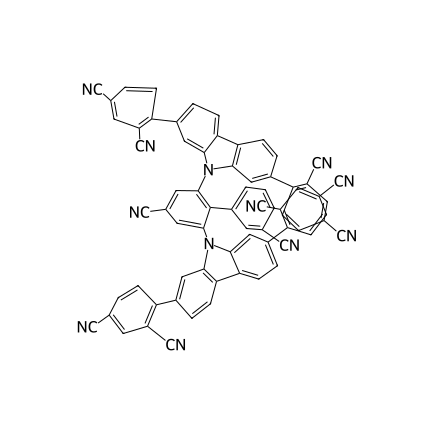 N#Cc1cccc(-c2c(-n3c4cc(-c5ccc(C#N)cc5C#N)ccc4c4ccc(-c5ccc(C#N)cc5C#N)cc43)cc(C#N)cc2-n2c3cc(-c4ccc(C#N)cc4C#N)ccc3c3ccc(-c4ccc(C#N)cc4C#N)cc32)c1